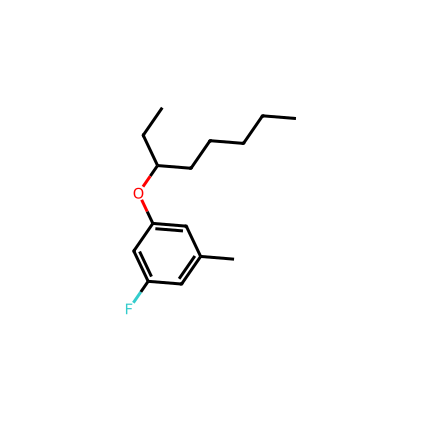 CCCCCC(CC)Oc1cc(C)cc(F)c1